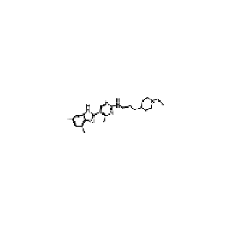 CCN1CCC(CCCNc2ncc(-c3nc4c(C)cc(C)cc4[nH]3)c(C)n2)CC1